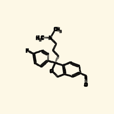 CN(C)CCC[C@@]1(c2ccc(F)cc2)OCc2cc(C=O)ccc21